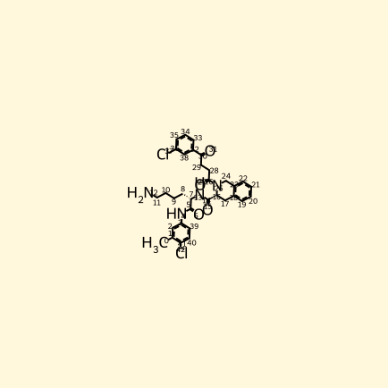 Cc1cc(NC(=O)[C@H](CCCCN)NC(=O)[C@@H]2Cc3ccccc3CN2C(=O)CCC(=O)c2cccc(Cl)c2)ccc1Cl